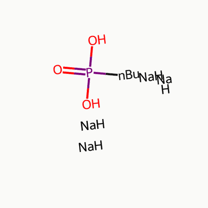 CCCCP(=O)(O)O.[NaH].[NaH].[NaH].[NaH]